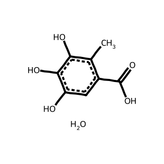 Cc1c(C(=O)O)cc(O)c(O)c1O.O